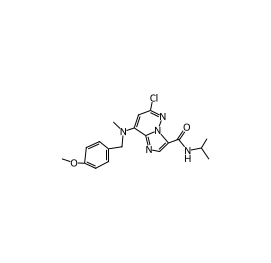 COc1ccc(CN(C)c2cc(Cl)nn3c(C(=O)NC(C)C)cnc23)cc1